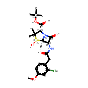 COc1ccc(CC(=O)N[C@@H]2C(=O)N3[C@@H]2[S@@+]([O-])C(C)(C)[C@@H]3C(=O)O[Si](C)(C)C)c(Cl)c1